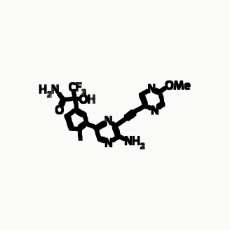 COc1cnc(C#Cc2nc(-c3cc(C(O)(C(N)=O)C(F)(F)F)ccc3C)cnc2N)cn1